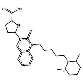 CC1CCC[C@@H](C)N1CCCCCn1c(=O)c(C2CCN(C(=N)N)N2)cc2ccccc21